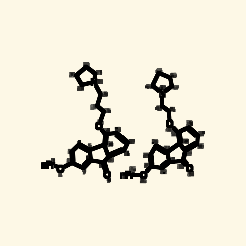 CCCOc1ccc2c(c1)C(=O)c1cccc(OCCCN3CCCC3)c1-2.CCCOc1ccc2c(c1)C(=O)c1cccc(OCCN3CCCC3)c1-2